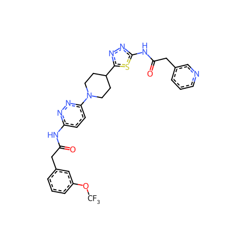 O=C(Cc1cccc(OC(F)(F)F)c1)Nc1ccc(N2CCC(c3nnc(NC(=O)Cc4cccnc4)s3)CC2)nn1